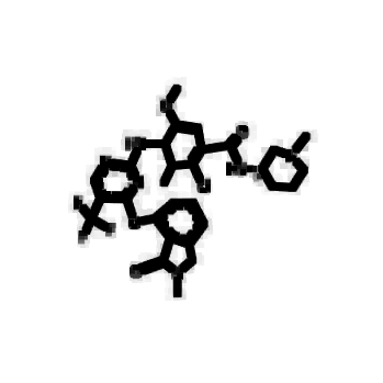 COC1=CC(C(=O)N[C@H]2CCCN(C)C2)=C(Cl)C(C)C1Nc1ncc(C(F)(F)F)c(Oc2cccc3c2C(=O)N(C)C3)n1